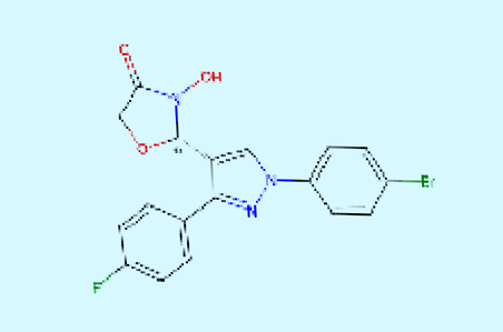 O=C1CO[C@@H](c2cn(-c3ccc(Br)cc3)nc2-c2ccc(F)cc2)N1O